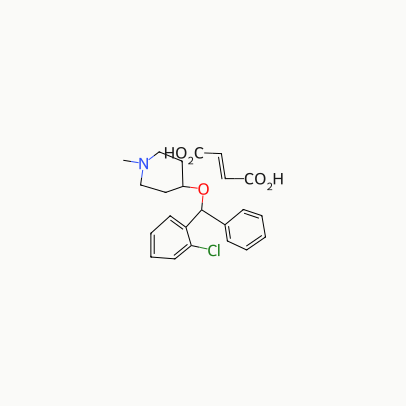 CN1CCC(OC(c2ccccc2)c2ccccc2Cl)CC1.O=C(O)/C=C/C(=O)O